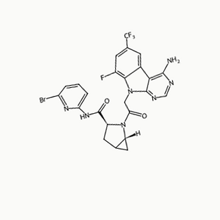 Nc1ncnc2c1c1cc(C(F)(F)F)cc(F)c1n2CC(=O)N1[C@@H]2CC2C[C@H]1C(=O)Nc1cccc(Br)n1